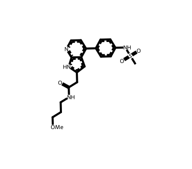 COCCCNC(=O)Cc1cc2c(-c3ccc(NS(C)(=O)=O)cc3)ccnc2[nH]1